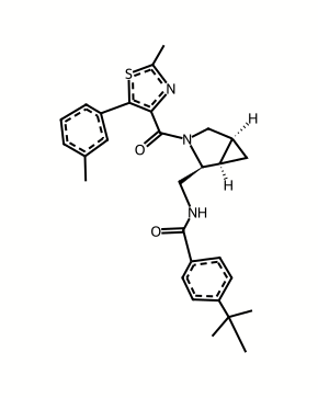 Cc1cccc(-c2sc(C)nc2C(=O)N2C[C@H]3C[C@H]3[C@H]2CNC(=O)c2ccc(C(C)(C)C)cc2)c1